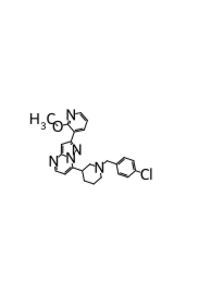 COc1ncccc1-c1cc2nccc(C3CCCN(Cc4ccc(Cl)cc4)C3)n2n1